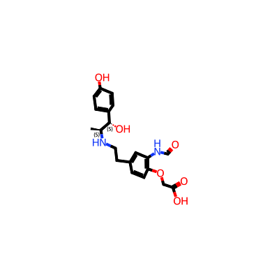 C[C@H](NCCc1ccc(OCC(=O)O)c(NC=O)c1)[C@@H](O)c1ccc(O)cc1